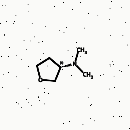 CN(C)[C@H]1CCOC1